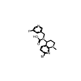 CN1CCC(N(Cc2cncc(F)c2)C(=O)O)c2ccc(Br)nc21